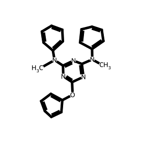 CN(c1ccccc1)c1nc(Oc2ccccc2)nc(N(C)c2ccccc2)n1